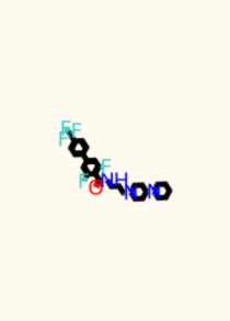 O=C(NCCCN1CCC(N2CCCCC2)CC1)c1c(F)cc(-c2ccc(C(F)(F)F)cc2)cc1F